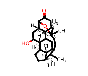 C[C@@H]1CCCC(C)(C)OC2C(=O)CC[C@]3(C)C4CC[C@]5(C)[C@@H]1CC[C@H]5[C@@H]4C(O)C[C@H]23